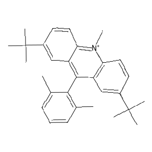 Cc1cccc(C)c1-c1c2cc(C(C)(C)C)ccc2[n+](C)c2ccc(C(C)(C)C)cc12